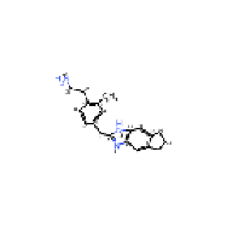 Cc1cc(Cc2nc3cc4c(cc3[nH]2)CCC4)ccc1CCN